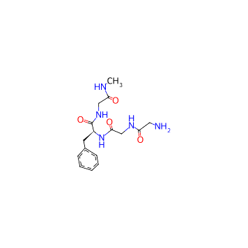 CNC(=O)CNC(=O)[C@H](Cc1ccccc1)NC(=O)CNC(=O)CN